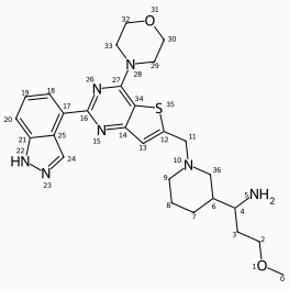 COCCC(N)C1CCCN(Cc2cc3nc(-c4cccc5[nH]ncc45)nc(N4CCOCC4)c3s2)C1